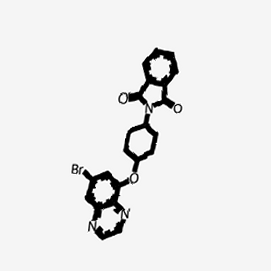 O=C1c2ccccc2C(=O)N1C1CCC(Oc2cc(Br)cc3nccnc23)CC1